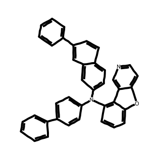 c1ccc(-c2ccc(N(c3ccc4ccc(-c5ccccc5)cc4c3)c3cccc4oc5ccncc5c34)cc2)cc1